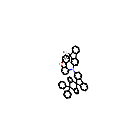 CC1(C)c2ccccc2-c2ccc(N(c3ccc4c(c3)C3(c5ccccc5-4)c4ccccc4C(c4ccccc4)(c4ccccc4)c4ccccc43)c3cccc4oc5ccccc5c34)cc21